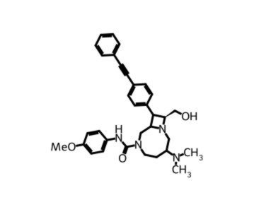 COc1ccc(NC(=O)N2CCC(N(C)C)CN3C(C2)C(c2ccc(C#Cc4ccccc4)cc2)[C@H]3CO)cc1